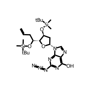 C=CCC(O[Si](C)(C)C(C)(C)C)[C@H]1O[C@@H](n2cnc3c(O)nc(N=[N+]=[N-])nc32)C[C@@H]1O[Si](C)(C)C(C)(C)C